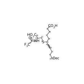 CCCCCCCCCCCCC#CC(CCCCC(=O)O)SCC(NC(=O)C(F)(F)F)C(=O)O